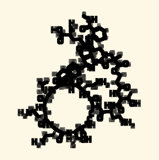 CNC(=O)c1ccccc1Sc1ccc2c(/C=C/c3ccccn3)nn(C(=O)N(CCNC(=O)CC[C@H](N)C(=O)O)CC(C)(C)C(=O)OCCC(=O)N[C@H](C(=O)N[C@@H](CCN)C(=O)N[C@H]3CCNC(=O)[C@H]([C@@H](C)O)NC(=O)[C@H](CCN)NC(=O)[C@H](CCN)NC(=O)[C@H](CC(C)C)NC(=O)[C@@H](Cc4ccccc4)NC(=O)[C@H](CCN)NC3=O)[C@@H](C)O)c2c1